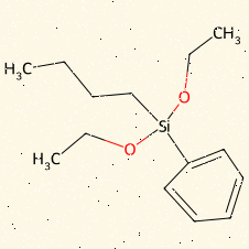 CCCC[Si](OCC)(OCC)c1ccccc1